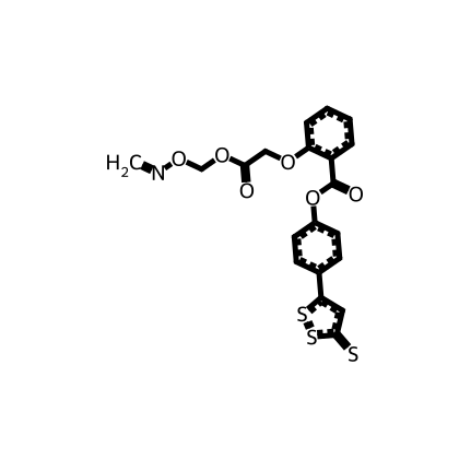 C=NOCOC(=O)COc1ccccc1C(=O)Oc1ccc(-c2cc(=S)ss2)cc1